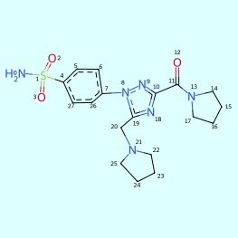 NS(=O)(=O)c1ccc(-n2nc(C(=O)N3CCCC3)nc2CN2CCCC2)cc1